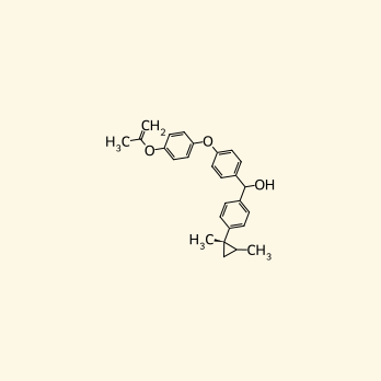 C=C(C)Oc1ccc(Oc2ccc(C(O)c3ccc([C@@]4(C)CC4C)cc3)cc2)cc1